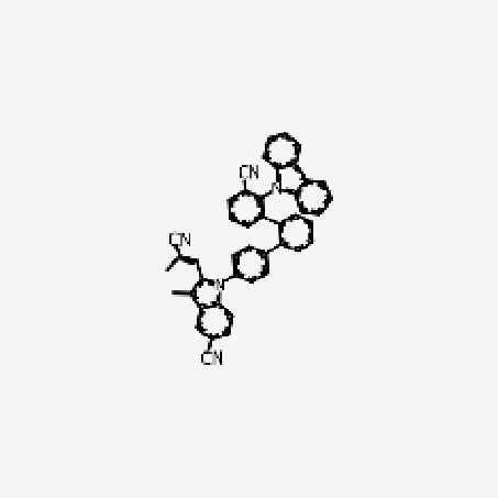 C/C(C#N)=C\c1c(C)c2cc(C#N)ccc2n1-c1ccc(-c2ccccc2-c2cccc(C#N)c2-n2c3ccccc3c3ccccc32)cc1